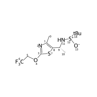 Cc1nc(OCC(F)(F)F)sc1[C@@H](C)N[S+]([O-])C(C)(C)C